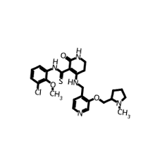 COc1c(Cl)cccc1NC(=S)C1=C(NCc2ccncc2OCC2CCCN2C)CCNC1=O